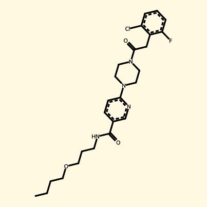 CCCCOCCCNC(=O)c1ccc(N2CCN(C(=O)Cc3c(F)cccc3Cl)CC2)nc1